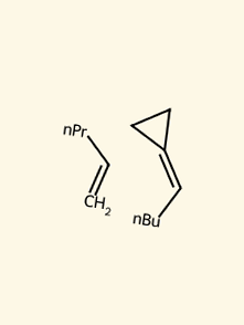 C=CCCC.CCCCC=C1CC1